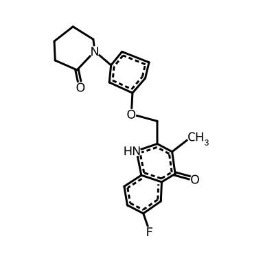 Cc1c(COc2cccc(N3CCCCC3=O)c2)[nH]c2ccc(F)cc2c1=O